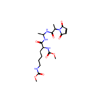 COC(=O)NCCCCC(NC(=O)OC)C(=O)NC(C)NC(=O)C(C)N1C(=O)C=CC1=O